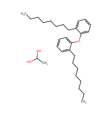 CC(O)O.CCCCCCCCc1ccccc1Oc1ccccc1CCCCCCCC